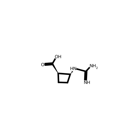 N=C(N)N[C@@H]1CC[C@H]1C(=O)O